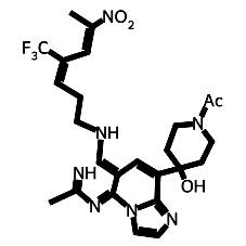 CC(=N)/N=c1\c(=C\NCC/C=C(\C=C(/C)[N+](=O)[O-])C(F)(F)F)cc(C2(O)CCN(C(C)=O)CC2)c2nccn12